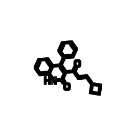 O=C(/C=C/C1CCC1)c1c(-c2ccccc2)c2ccccc2[nH]c1=O